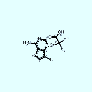 Nc1ncnc2c(I)csc12.O=C(O)C(F)(F)F